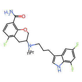 CCCN(CCCc1c[nH]c2c(F)cc(F)cc12)C1COc2c(C(N)=O)ccc(F)c2C1